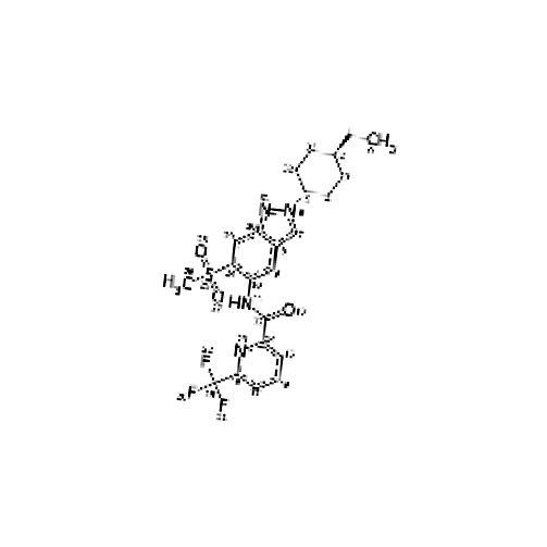 CC[C@H]1CC[C@H](n2cc3cc(NC(=O)c4cccc(C(F)(F)F)n4)c(S(C)(=O)=O)cc3n2)CC1